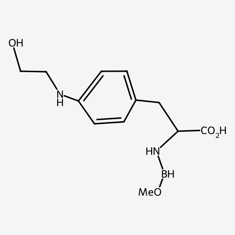 COBNC(Cc1ccc(NCCO)cc1)C(=O)O